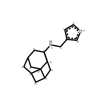 c1cc(CNC23CC4CC5CC(C2)C5(C4)C3)co1